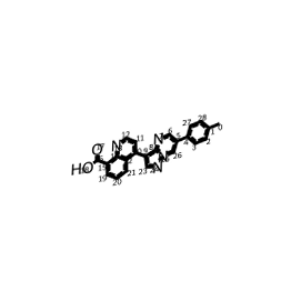 Cc1ccc(-c2cnc3c(-c4ccnc5c(C(=O)O)cccc45)cnn3c2)cc1